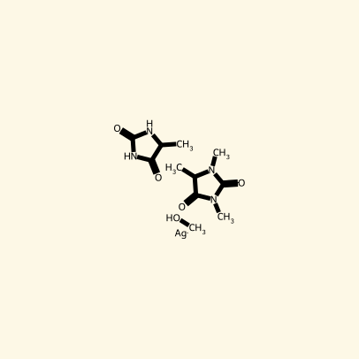 CC1C(=O)N(C)C(=O)N1C.CC1NC(=O)NC1=O.CO.[Ag]